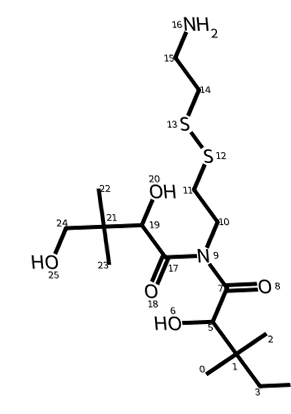 CC(C)(CO)C(O)C(=O)N(CCSSCCN)C(=O)C(O)C(C)(C)CO